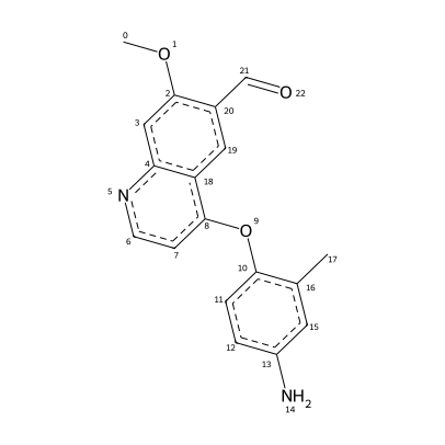 COc1cc2nccc(Oc3ccc(N)cc3C)c2cc1C=O